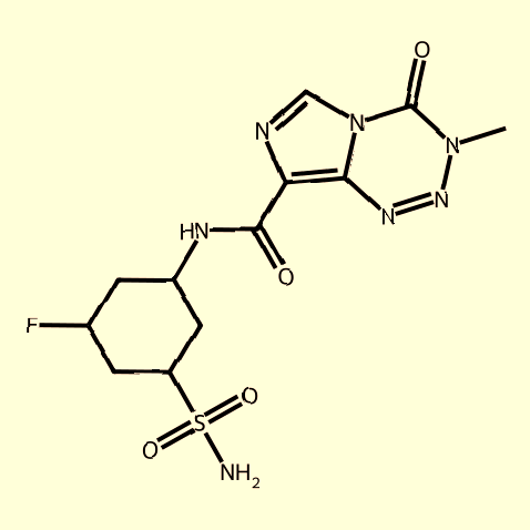 Cn1nnc2c(C(=O)NC3CC(F)CC(S(N)(=O)=O)C3)ncn2c1=O